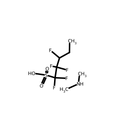 CCC(F)C(F)(F)C(F)(F)S(=O)(=O)O.CNC